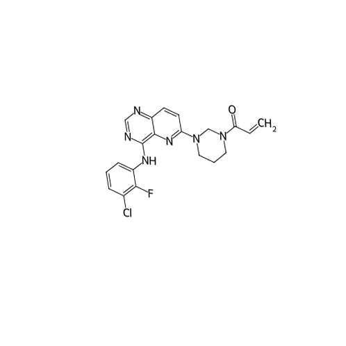 C=CC(=O)N1CCCN(c2ccc3ncnc(Nc4cccc(Cl)c4F)c3n2)C1